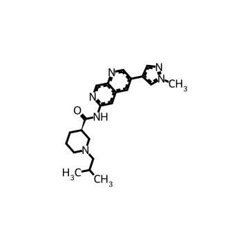 CC(C)CN1CCC[C@@H](C(=O)Nc2cc3cc(-c4cnn(C)c4)cnc3cn2)C1